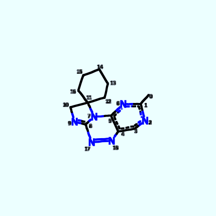 Cc1ncc2c(n1)N1C(=NCC13CCCCC3)N=N2